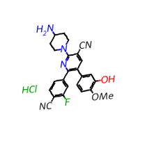 COc1ccc(-c2cc(C#N)c(N3CCC(N)CC3)nc2-c2ccc(C#N)c(F)c2)cc1O.Cl